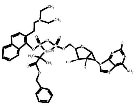 CCN(CC)CCc1ccc2ccccc2c1OP(=O)(NC(C)(C)C(=O)OCc1ccccc1)OP(=O)(O)OC[C@H]1OC2[C@@H]([C@H]1O)[C@@H]2n1cnc2c(N)nc(Cl)nc21